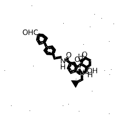 O=Cc1ccc(-c2ccc(CCNC(=O)c3ccc4c5c3O[C@H]3C(=O)CC[C@@]6(O)[C@@H](C4)N(CC4CC4)CC[C@]536)cc2)cc1